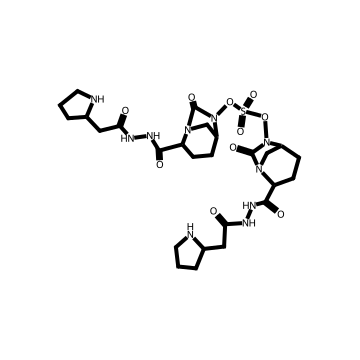 O=C(CC1CCCN1)NNC(=O)C1CCC2CN1C(=O)N2OS(=O)(=O)ON1C(=O)N2CC1CCC2C(=O)NNC(=O)CC1CCCN1